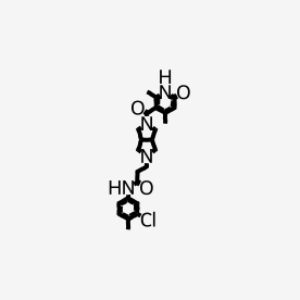 Cc1ccc(NC(=O)CCN2CC3CN(C(=O)c4c(C)cc(=O)[nH]c4C)CC3C2)cc1Cl